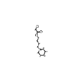 O=C(CCl)OCCCCN1CCCCC1